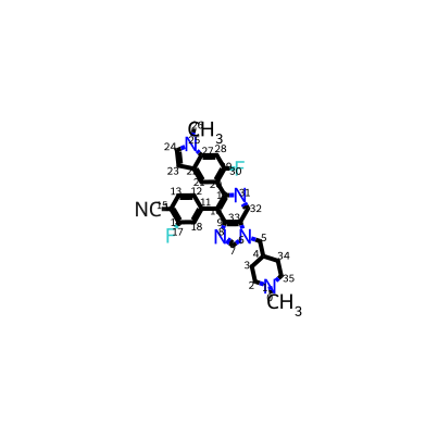 CN1CCC(Cn2cnc3c(-c4ccc(C#N)c(F)c4)c(-c4cc5ccn(C)c5cc4F)ncc32)CC1